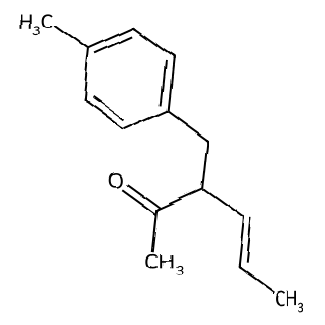 CC=CC(Cc1ccc(C)cc1)C(C)=O